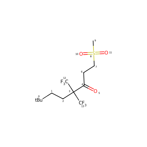 CC(C)(C)CCC(C(=O)CCS(C)(=O)=O)(C(F)(F)F)C(F)(F)F